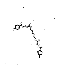 Cc1ccc(C(=O)OOOC(=O)OCCCCCCOC(=O)OOOC(=O)c2ccc(C)cc2)cc1